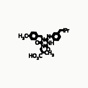 Cc1ccc(Cn2c(=O)n(C[C@H](C)C(=O)O)c(=O)[nH]/c2=N\c2cccc(CC(C)C)c2)cc1